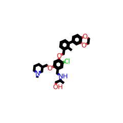 Cc1c(COc2cc(OCC3CCCN(C)C3)c(CNC(C)CO)cc2Cl)cccc1-c1ccc2c(c1)OCCO2